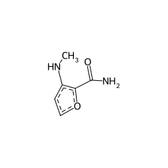 CNc1ccoc1C(N)=O